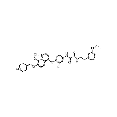 COc1cccc(CCNC(=O)C(=O)Nc2ccc(Oc3ccnc4c(OC)c(OCC5CCNCC5)ccc34)c(F)c2)c1